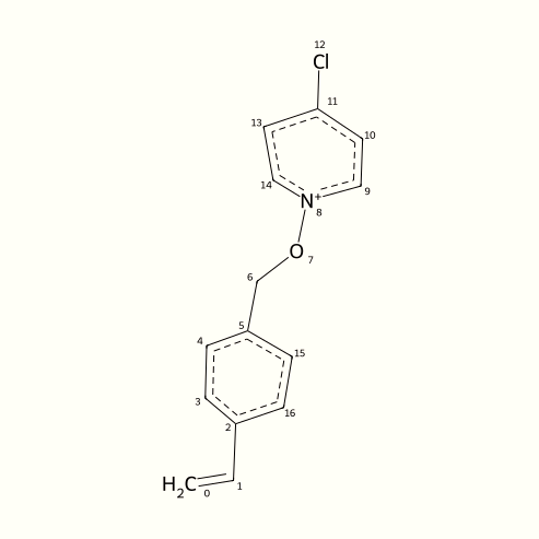 C=Cc1ccc(CO[n+]2ccc(Cl)cc2)cc1